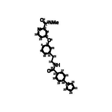 CNC(=O)c1cc(Oc2cccc(CCNC(=O)c3ccc(-n4cccc4)cc3)c2)ccn1